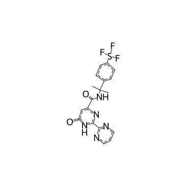 CC(C)(NC(=O)c1cc(=O)[nH]c(-c2ncccn2)n1)c1ccc(S(F)(F)F)cc1